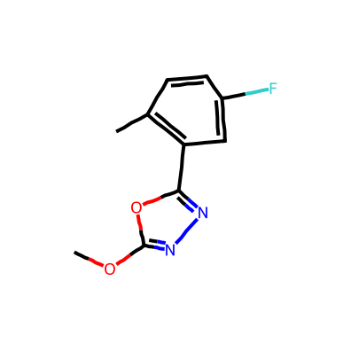 COc1nnc(-c2cc(F)ccc2C)o1